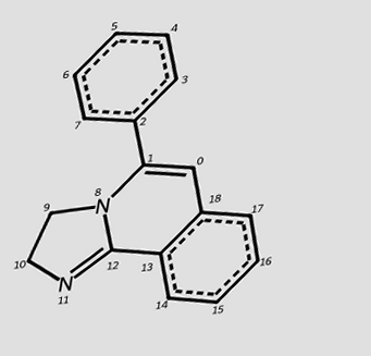 C1=C(c2ccccc2)N2CCN=C2c2ccccc21